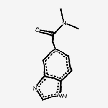 CN(C)C(=O)c1ccc2[nH]cnc2c1